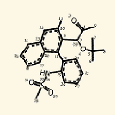 CC(=O)[C@@H](OC(C)(C)C)c1c(C)cc2ccccc2c1-c1ccccc1NS(C)(=O)=O